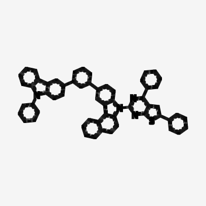 c1ccc(-c2cc3c(-c4ccccc4)nc(-n4c5ccc(-c6cccc(-c7ccc8c(c7)c7ccccc7n8-c7ccccc7)c6)cc5c5c6ccccc6ccc54)nc3s2)cc1